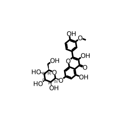 COc1cc(-c2oc3cc(O[C@@H]4O[C@H](CO)[C@@H](O)[C@H](O)[C@H]4O)cc(O)c3c(=O)c2O)ccc1O